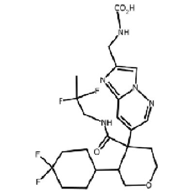 CC(F)(F)CNC(=O)C1(c2cnn3cc(CNC(=O)O)nc3c2)CCOCC1C1CCC(F)(F)CC1